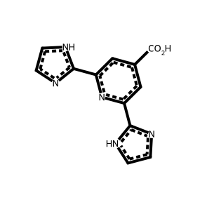 O=C(O)c1cc(-c2ncc[nH]2)nc(-c2ncc[nH]2)c1